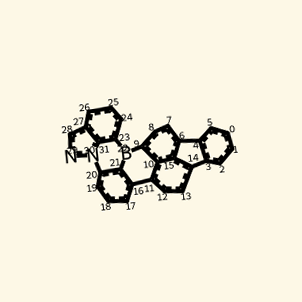 c1ccc2c(c1)-c1ccc3c4c(ccc-2c14)-c1cccc2c1B3c1cccc3cnn-2c13